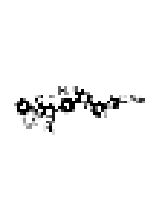 COC1CN(c2cc(-c3cnc(N)c(-c4ccc(NC(=O)c5c(C)n(C)n(-c6ccccc6)c5=O)cc4)n3)ccn2)C1